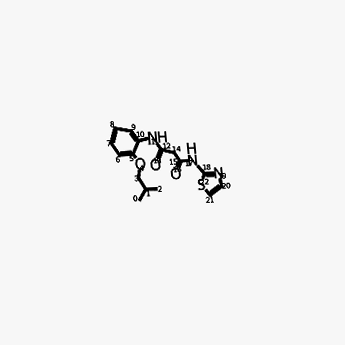 CC(C)COc1ccccc1NC(=O)CC(=O)Nc1nccs1